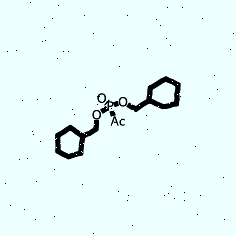 CC(=O)P(=O)(OCC1CCCCC1)OCC1CCCCC1